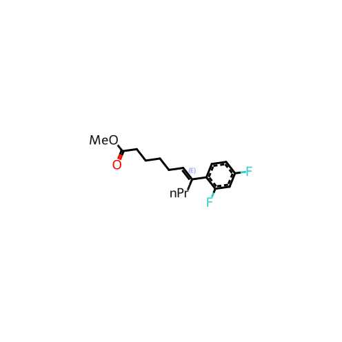 CCC/C(=C\CCCCC(=O)OC)c1ccc(F)cc1F